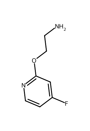 NCCOc1cc(F)ccn1